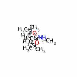 CCN[Si](C)(O[Si](C)(C)C)O[Si](C)(C)C